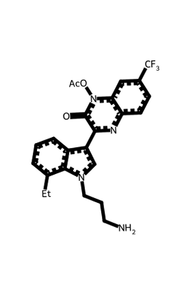 CCc1cccc2c(-c3nc4ccc(C(F)(F)F)cc4n(OC(C)=O)c3=O)cn(CCCN)c12